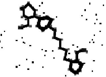 COc1ccccc1COCCCOc1ccc([C@@H]2CCNC[C@H]2CO)cc1